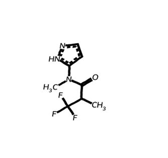 CC(C(=O)N(C)c1ccn[nH]1)C(F)(F)F